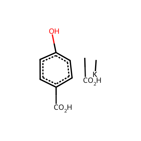 CC(=O)O.O=C(O)c1ccc(O)cc1.[CH3][K]